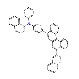 c1ccc(N(c2ccc(-c3cc4cc(-c5ccc6ccccc6c5)c5ccccc5c4c4ccccc34)cc2)c2cccc3ccccc23)cc1